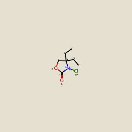 CCC1(CC)COC(=O)N1Cl